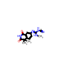 CN/C(=N\c1ccc2c(c1)C(=O)NC(=O)C2(C)C)NC#N